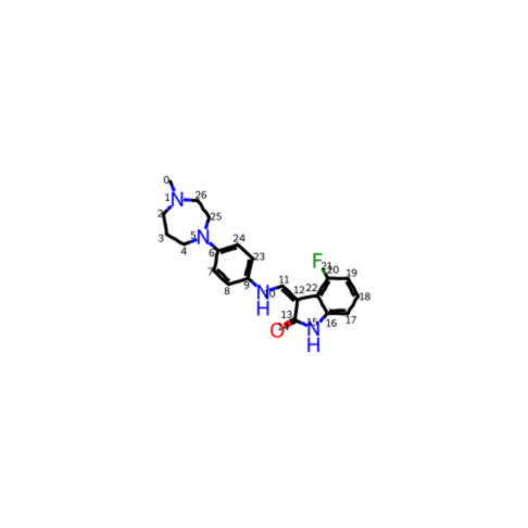 CN1CCCN(c2ccc(NC=C3C(=O)Nc4cccc(F)c43)cc2)CC1